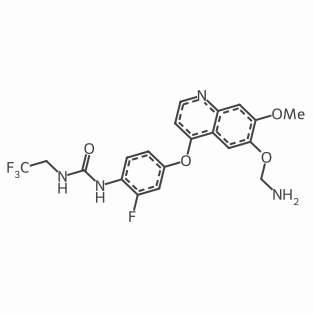 COc1cc2nccc(Oc3ccc(NC(=O)NCC(F)(F)F)c(F)c3)c2cc1OCN